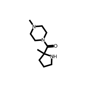 CN1CCN(C(=O)C2(C)CCCN2)CC1